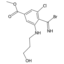 COC(=O)c1cc(Cl)c(C(=N)Br)c(NCCCO)c1